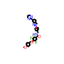 COc1ccc(COc2c(F)cc(C(=O)NCC34CCC(n5cc6ccc(-c7ncccn7)cc6n5)(CC3)CC4)c(F)c2F)cc1